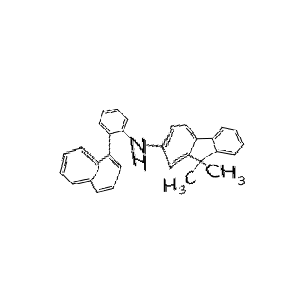 CC1(C)c2ccccc2-c2ccc(Nc3ccccc3-c3cccc4ccccc34)cc21